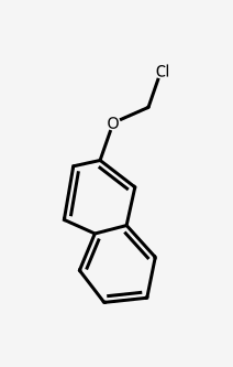 ClCOc1ccc2ccccc2c1